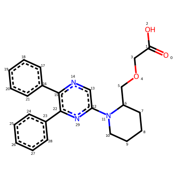 O=C(O)COCC1CCCCN1c1cnc(-c2ccccc2)c(-c2ccccc2)n1